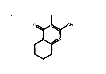 Cc1c(O)nc2n(c1=O)CCCC2